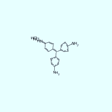 Cl.Cl.N=C1C=CC(=C(c2ccc(N)cc2)c2ccc(N)cc2)C=C1